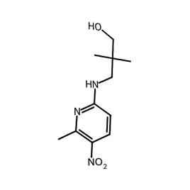 Cc1nc(NCC(C)(C)CO)ccc1[N+](=O)[O-]